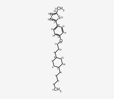 CCCCCC1CCC(CCCOc2ccc(-c3nnc(C)s3)cc2)CC1